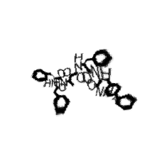 CC(NC(=O)[C@@H](Cc1ccccc1)NC(=O)Cc1ccccc1)C(=O)C(=O)N[C@@H](Cc1ccccc1)C(=O)N[C@@H](Cc1ccc(-c2ccccc2)cc1)C(N)=O